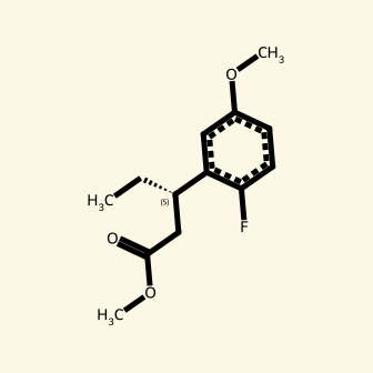 CC[C@@H](CC(=O)OC)c1cc(OC)ccc1F